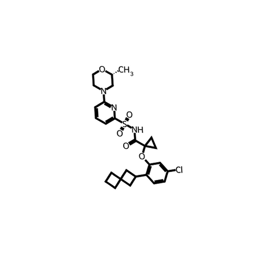 C[C@@H]1CN(c2cccc(S(=O)(=O)NC(=O)C3(Oc4cc(Cl)ccc4C4CC5(CCC5)C4)CC3)n2)CCO1